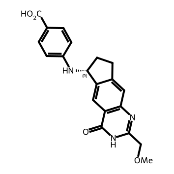 COCc1nc2cc3c(cc2c(=O)[nH]1)[C@H](Nc1ccc(C(=O)O)cc1)CC3